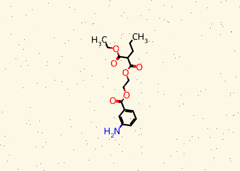 CCCC(C(=O)OCC)C(=O)OCCOC(=O)c1cccc(N)c1